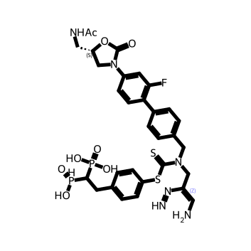 CC(=O)NC[C@H]1CN(c2ccc(-c3ccc(CN(C/C(=C/N)N=N)C(=S)Sc4ccc(CC([PH](=O)O)P(=O)(O)O)cc4)cc3)c(F)c2)C(=O)O1